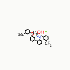 CC(C)(C)c1cccc(Oc2cccc(-c3ccccc3N(Cc3cc(C(F)(F)F)ccc3F)C[C@@H](O)C(F)(F)F)c2)c1